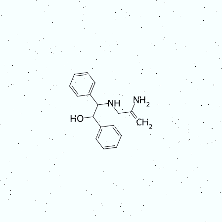 C=C(N)CNC(c1ccccc1)C(O)c1ccccc1